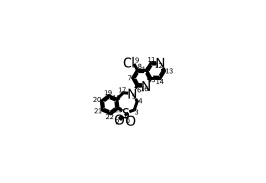 O=S1(=O)CCN(c2cc(Cl)c3cnccc3n2)Cc2ccccc21